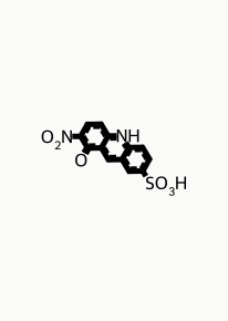 O=c1c2cc3cc(S(=O)(=O)O)ccc3[nH]c-2ccc1[N+](=O)[O-]